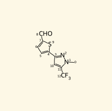 Cn1nc(-c2ccc(C=O)s2)cc1C(F)(F)F